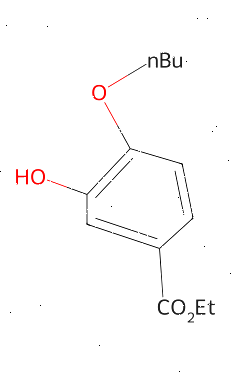 CCCCOc1ccc(C(=O)OCC)cc1O